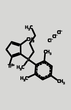 CCCC[Si](C)(C1=[C]([Ti+3])CC=C1C)c1c(C)cc(C)cc1C.[Cl-].[Cl-].[Cl-]